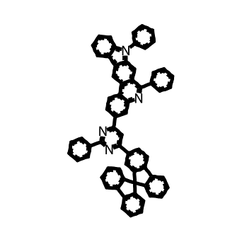 c1ccc(-c2nc(-c3ccc4c(c3)C3(c5ccccc5-c5ccccc53)c3ccccc3-4)cc(-c3ccc4c(c3)nc(-c3ccccc3)c3cc5c(cc34)c3ccccc3n5-c3ccccc3)n2)cc1